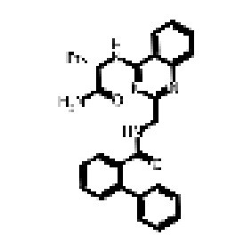 CC(C)[C@H](Nc1nc(CNC(=O)c2ccccc2-c2ccccc2)nc2ccccc12)C(N)=O